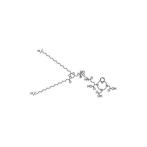 CCCCCCCCCCCCCCCCCC(=O)OCC(COP(=O)(O)OCCNC(=O)CCC(C(=O)O)N1CCN(CC(=O)O)CCN(CC(=O)O)Cc2cccc(n2)C1)OC(=O)CCCCCCCCCCCCCCCCC